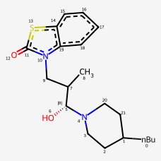 CCCCC1CCN([C@H](O)C(C)Cn2c(=O)sc3ccccc32)CC1